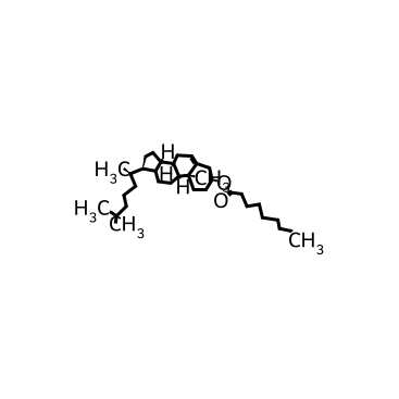 CCCCCCCCC(=O)O[C@H]1CC[C@@]2(C)C(=CC[C@@H]3[C@H]2CCC2[C@@H]3CC[C@@H]2[C@H](C)CCCC(C)C)C1